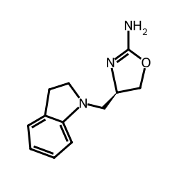 NC1=N[C@H](CN2CCc3ccccc32)CO1